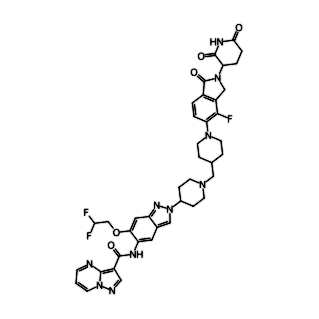 O=C1CCC(N2Cc3c(ccc(N4CCC(CN5CCC(n6cc7cc(NC(=O)c8cnn9cccnc89)c(OCC(F)F)cc7n6)CC5)CC4)c3F)C2=O)C(=O)N1